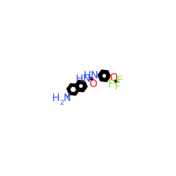 N[C@H]1CCc2cc(NC(=O)Nc3ccc(OC(F)(F)F)cc3)ccc2C1